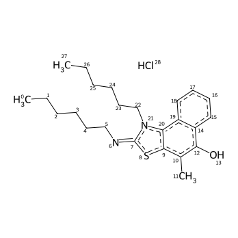 CCCCCCN=c1sc2c(C)c(O)c3ccccc3c2n1CCCCCC.Cl